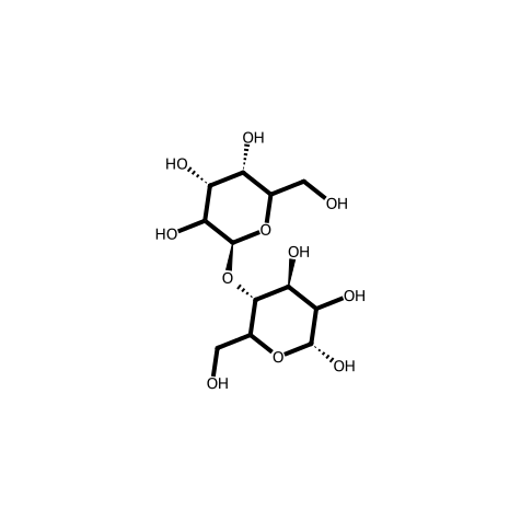 OCC1O[C@@H](O[C@H]2C(CO)O[C@@H](O)C(O)[C@@H]2O)C(O)[C@H](O)[C@@H]1O